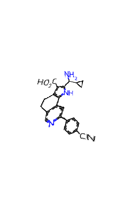 N#Cc1ccc(-c2cc3c(cn2)CCc2c-3[nH]c(C(N)C3CC3)c2C(=O)O)cc1